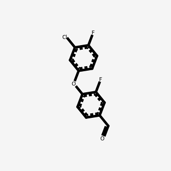 O=Cc1ccc(Oc2ccc(F)c(Cl)c2)c(F)c1